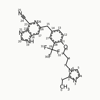 CCc1nccn1CCCOc1ccc(Cc2cc3[nH]cnc3c(C#N)n2)cc1C(F)(F)F